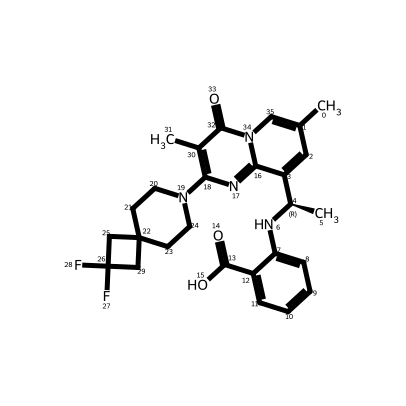 Cc1cc([C@@H](C)Nc2ccccc2C(=O)O)c2nc(N3CCC4(CC3)CC(F)(F)C4)c(C)c(=O)n2c1